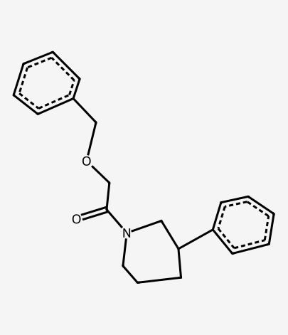 O=C(COCc1ccccc1)N1CCCC(c2ccccc2)C1